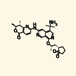 C[C@@H]1OC(=O)c2ccc(Nc3cc4c(C(C)(C)N)cnc(O[C@@H](C)C[C@@H]5CCCS5(=O)=O)c4cn3)nc2[C@H]1C